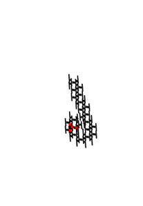 II(I)I(I)I(I)I(I)I(I)I(I)I(I)I(I)I(I)I(I)I(I)I(I)I(I)I(I)I(I)I(I)I(I)I(I)I(I)I(I)I(I)I(I)I(I)I(I)I(I)I(I)I(I)I(I)I(I)I(I)I(I)I